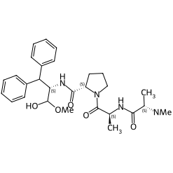 CN[C@@H](C)C(=O)N[C@@H](C)C(=O)N1CCC[C@H]1C(=O)N[C@H](C(O)OC)C(c1ccccc1)c1ccccc1